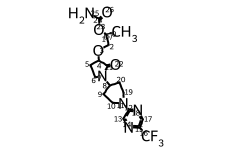 C[C@@H](COC1CCN(C2CCN(c3cnc(C(F)(F)F)cn3)CC2)C1=O)OC(N)=O